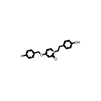 O=c1cc(OCc2ccc(F)cc2)ccn1CCc1ccc(O)cc1